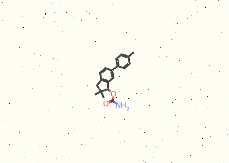 Cc1ccc(-c2ccc3c(c2)C(OC(N)=O)C(C)(C)C3)cc1